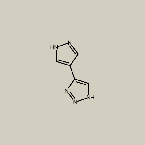 [c]1n[nH]cc1-c1c[nH]nn1